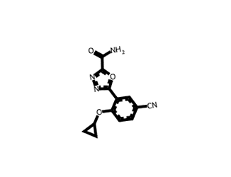 N#Cc1ccc(OC2CC2)c(-c2nnc(C(N)=O)o2)c1